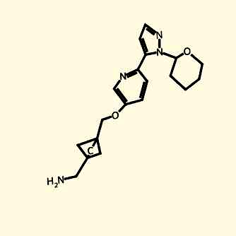 NCC12CC(COc3ccc(-c4ccnn4C4CCCCO4)nc3)(C1)C2